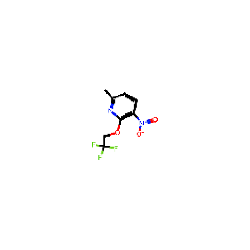 Cc1ccc([N+](=O)[O-])c(OCC(F)(F)F)n1